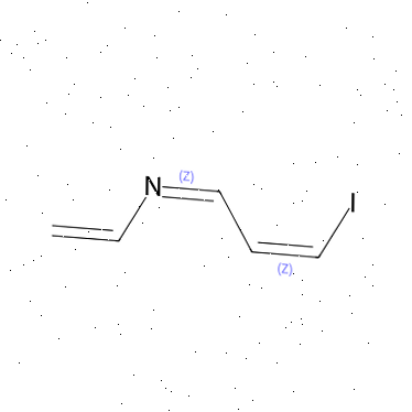 C=C/N=C\C=C/I